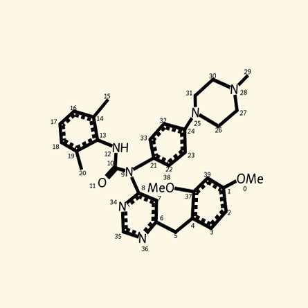 COc1ccc(Cc2cc(N(C(=O)Nc3c(C)cccc3C)c3ccc(N4CCN(C)CC4)cc3)ncn2)c(OC)c1